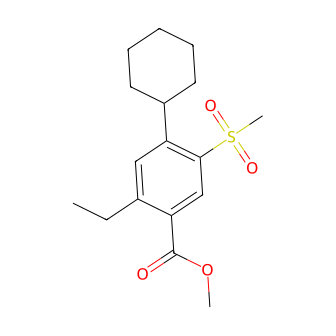 CCc1cc(C2CCCCC2)c(S(C)(=O)=O)cc1C(=O)OC